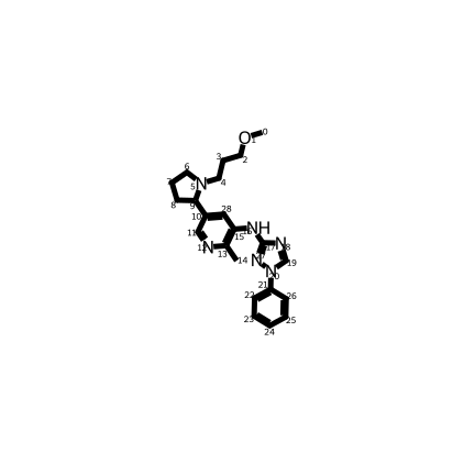 COCCCN1CCCC1c1cnc(C)c(Nc2ncn(-c3ccccc3)n2)c1